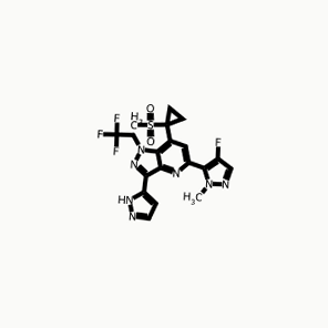 Cn1ncc(F)c1-c1cc(C2(S(C)(=O)=O)CC2)c2c(n1)c(-c1ccn[nH]1)nn2CC(F)(F)F